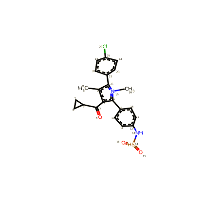 Cc1c(C(=O)C2CC2)c(-c2ccc(N[SH](=O)=O)cc2)n(C)c1-c1ccc(Cl)cc1